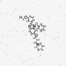 Cc1cccc(-c2nc3ccc(OCCCN4CCCCC4)cc3n2Cc2ccccc2)c1